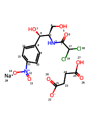 O=C(N[C@H](CO)[C@H](O)c1ccc([N+](=O)[O-])cc1)C(Cl)Cl.O=C([O-])CCC(=O)O.[Na+]